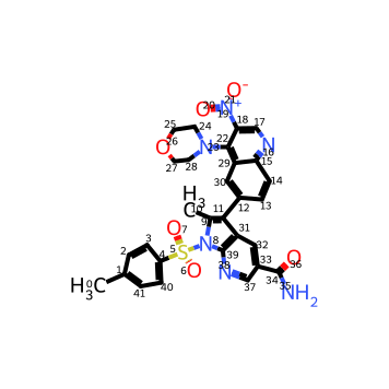 Cc1ccc(S(=O)(=O)n2c(C)c(-c3ccc4ncc([N+](=O)[O-])c(N5CCOCC5)c4c3)c3cc(C(N)=O)cnc32)cc1